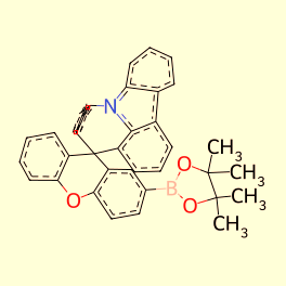 CC1(C)OB(c2ccc3c(c2)C2(c4ccccc4O3)c3ccccc3-n3c4ccccc4c4cccc2c43)OC1(C)C